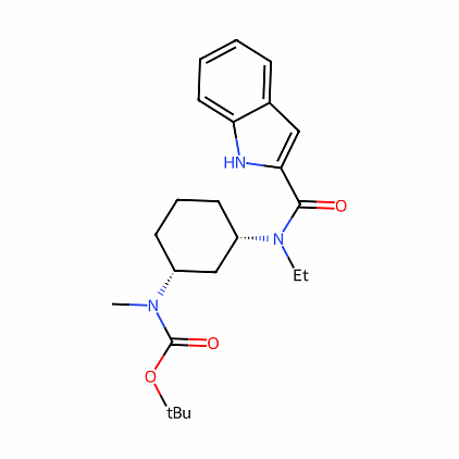 CCN(C(=O)c1cc2ccccc2[nH]1)[C@H]1CCC[C@@H](N(C)C(=O)OC(C)(C)C)C1